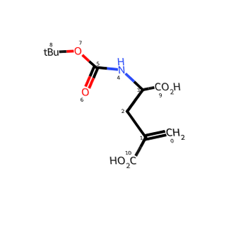 C=C(CC(NC(=O)OC(C)(C)C)C(=O)O)C(=O)O